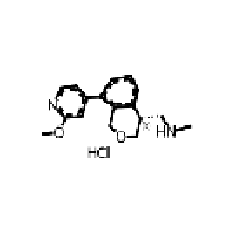 CNC[C@@H]1COCc2c(-c3ccnc(OC)c3)cccc21.Cl